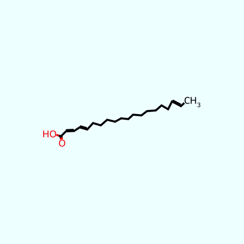 CC=CCCCCCCCCCCCCC=CC=CC(=O)O